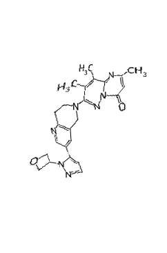 Cc1cc(=O)n2nc(N3CCc4ncc(-c5ccnn5C5COC5)cc4C3)c(C)c(C)c2n1